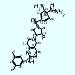 Cc1cc(C)cc(Nc2ncc3c(n2)CCN(C2CN(C(=O)c4ccc(NN)c(N)c4)CC2F)C3)c1